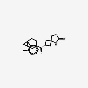 Cc1ccccc1C12CCN(C(=O)[C@H]3C[C@]4(COC(=O)N4)C3)CC1C2